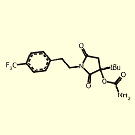 CC(C)(C)C1(OC(N)=O)CC(=O)N(CCc2ccc(C(F)(F)F)cc2)C1=O